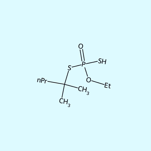 CCCC(C)(C)SP(=O)(S)OCC